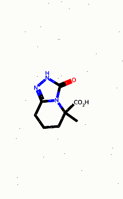 CC1(C(=O)O)CCCc2n[nH]c(=O)n21